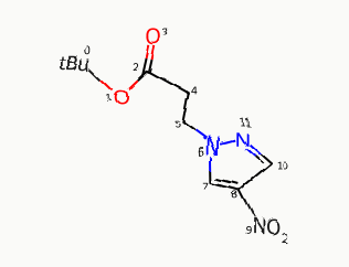 CC(C)(C)OC(=O)CCn1cc([N+](=O)[O-])cn1